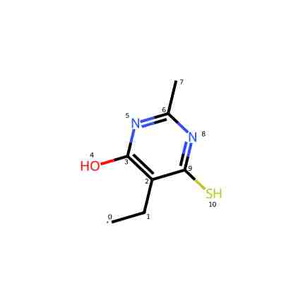 [CH2]Cc1c(O)nc(C)nc1S